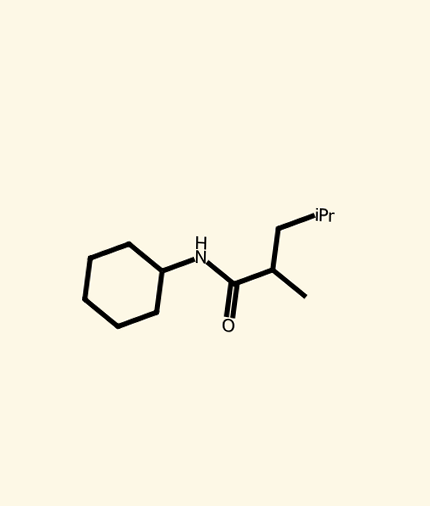 CC(C)CC(C)C(=O)NC1CCCCC1